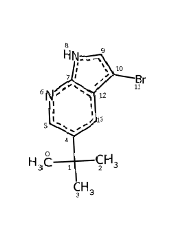 CC(C)(C)c1cnc2[nH]cc(Br)c2c1